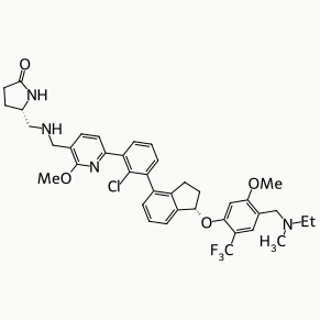 CCN(C)Cc1cc(C(F)(F)F)c(O[C@H]2CCc3c(-c4cccc(-c5ccc(CNC[C@@H]6CCC(=O)N6)c(OC)n5)c4Cl)cccc32)cc1OC